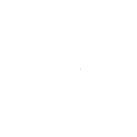 CCCC(O)CC(C)CO